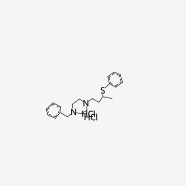 CC(CCN1CCN(Cc2ccccc2)CC1)Sc1ccccc1.Cl.Cl